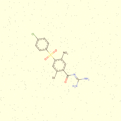 CCc1cc(S(=O)(=O)c2ccc(Cl)cc2)c([N+](=O)[O-])cc1C(=O)N=C(N)N